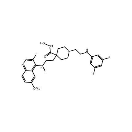 COc1ccc2ncc(F)c([C@H](F)CCC3(C(=O)NO)CCN(CCNc4cc(F)cc(F)c4)CC3)c2c1